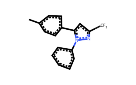 Cc1ccc(-c2cc(C(F)(F)F)nn2-c2c[c]ccc2)cc1